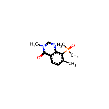 Cc1ccc2c(=O)n(C)cnc2c1P(C)(C)=O